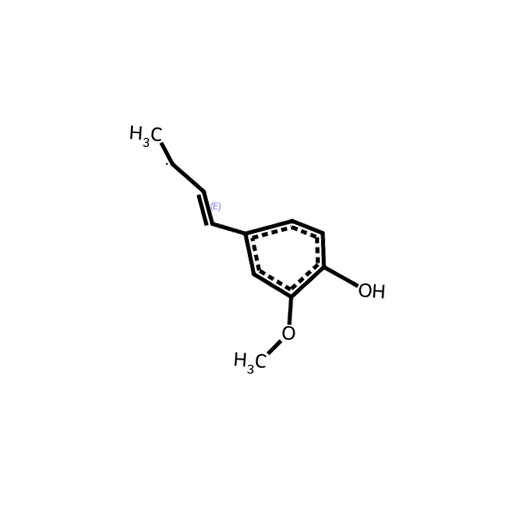 C[CH]/C=C/c1ccc(O)c(OC)c1